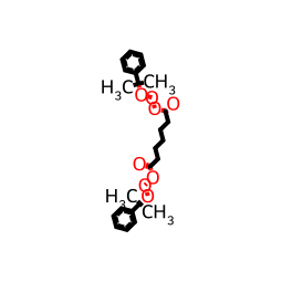 CC(C)(OOOC(=O)CCCCCC(=O)OOOC(C)(C)c1ccccc1)c1ccccc1